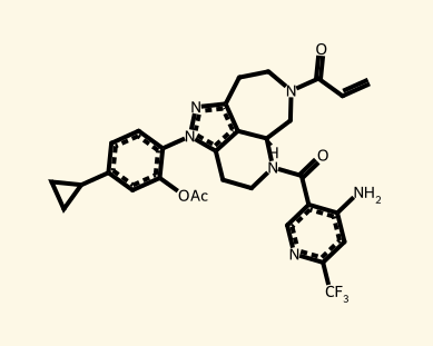 C=CC(=O)N1CCc2nn(-c3ccc(C4CC4)cc3OC(C)=O)c3c2[C@H](C1)N(C(=O)c1cnc(C(F)(F)F)cc1N)CC3